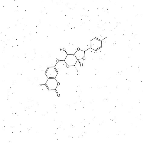 Cc1ccc(C2OC3[C@H](O)[C@H](Oc4ccc5c(C)cc(=O)oc5c4)O[C@@H](C)[C@H]3O2)cc1